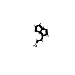 [S]CCC1=C2C=CC=C2C=C1